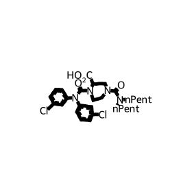 CCCCCN(CCCCC)C(=O)N1CCN(C(=O)N(c2cccc(Cl)c2)c2cccc(Cl)c2)C(C(=O)O)C1